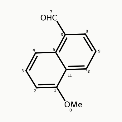 COc1cccc2c(C=O)cccc12